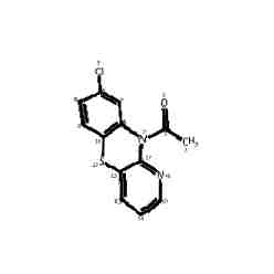 CC(=O)N1c2cc(Cl)ccc2Sc2cccnc21